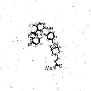 CNC(=O)CCN1CC2CN(c3ccc(Nc4ncc(Cl)c(-c5cnc6c(F)cccn56)n4)c(OC)c3)CC(C1)O2